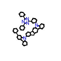 c1ccc(-c2ccc3c4ccccc4n(-c4ccc5c(c4)Cc4cc6c7ccccc7n(-c7cccc(-c8nc(-c9ccccc9)nc(-c9ccccc9)n8)c7)c6cc4-5)c3c2)cc1